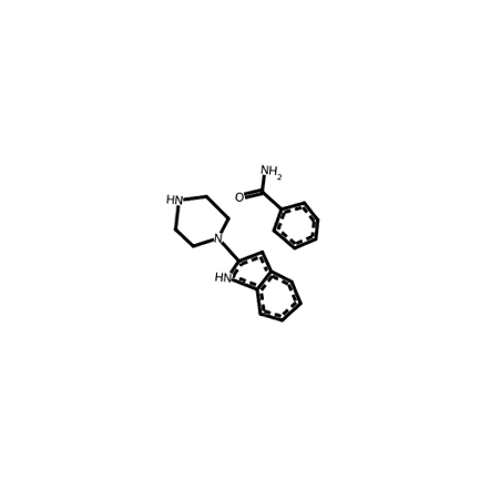 NC(=O)c1ccccc1.c1ccc2[nH]c(N3CCNCC3)cc2c1